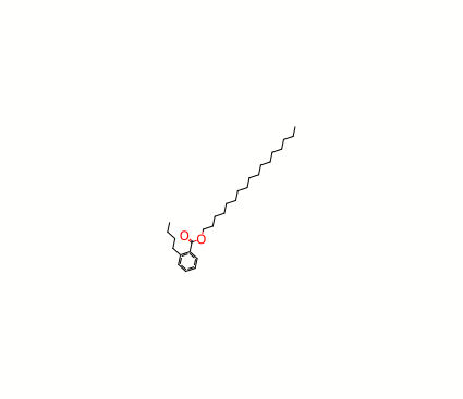 CCCCCCCCCCCCCCCCCOC(=O)c1ccccc1CCCC